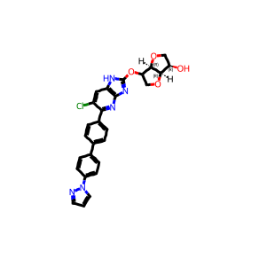 O[C@@H]1CO[C@@H]2C(Oc3nc4nc(-c5ccc(-c6ccc(-n7cccn7)cc6)cc5)c(Cl)cc4[nH]3)CO[C@H]12